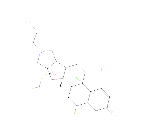 CC(C)CCN1C[C@@H]2C[C@H]3[C@@H]4C[C@H](F)C5=CC(=O)C=C[C@]5(C)[C@@]4(F)[C@@H](O)C[C@]3(C)[C@]2(C(=O)SCF)C1